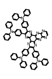 c1ccc(N(c2ccccc2)c2ccc(-c3nc4c5nc(-c6ccc(N(c7ccccc7)c7ccccc7)cc6)c(-c6ccc(N(c7ccccc7)c7ccccc7)cc6)nc5c5nc6nccnc6nc5c4nc3-c3ccc(N(c4ccccc4)c4ccccc4)cc3)cc2)cc1